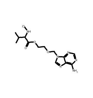 CC(C)C(NCl)C(=O)OCCOCn1cnc2c(N)ncnc21